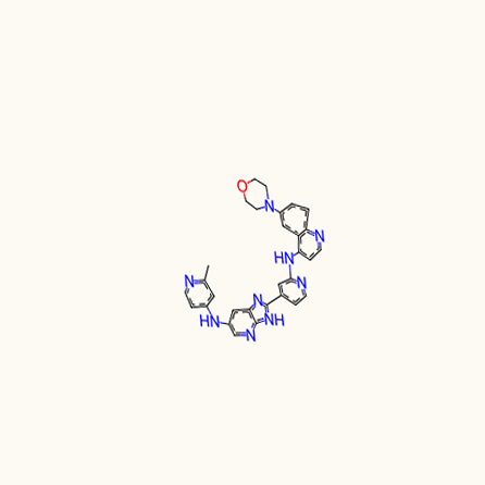 Cc1cc(Nc2cnc3[nH]c(-c4ccnc(Nc5ccnc6ccc(N7CCOCC7)cc56)c4)nc3c2)ccn1